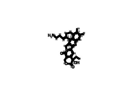 CC[C@@]1(O)C(=O)OCc2c1cc1n(c2=O)Cc2c-1nc1cc(F)c(C)c3c1c2/C(=C/CCN)CC3